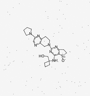 [O-][S@+]1CCc2nc(N3CCc4nc(N5CCCC5)cnc4C3)nc(NC3(CO)CCC3)c21